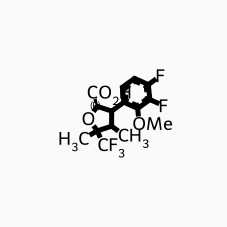 COc1c(C2C(C)C(C)(C(F)(F)F)O[C@H]2C(=O)O)ccc(F)c1F